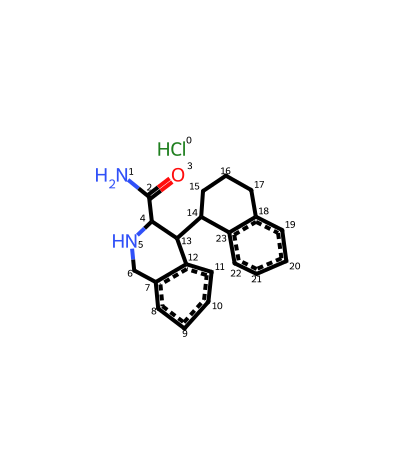 Cl.NC(=O)C1NCc2ccccc2C1C1CCCc2ccccc21